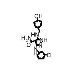 NC(=O)c1c(Nc2cccc(Cl)c2)n[nH]c1NCc1ccc(O)cc1